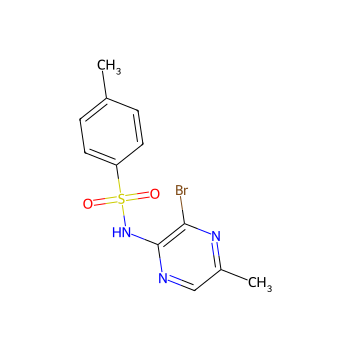 Cc1ccc(S(=O)(=O)Nc2ncc(C)nc2Br)cc1